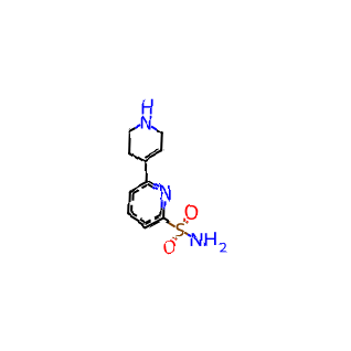 NS(=O)(=O)c1cccc(C2=CCNCC2)n1